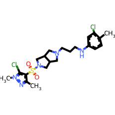 Cc1ccc(NCCCN2CC3CN(S(=O)(=O)c4c(C)nn(C)c4Cl)CC3C2)cc1Cl